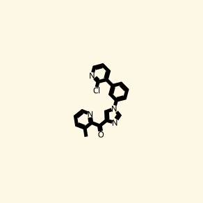 Cc1cccnc1C(=O)c1cn(-c2cccc(-c3cccnc3Cl)c2)cn1